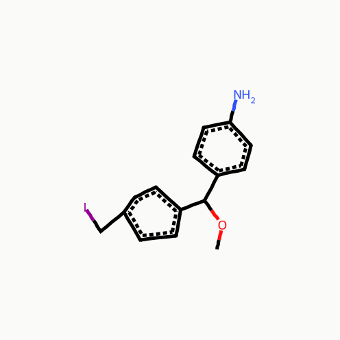 COC(c1ccc(N)cc1)c1ccc(CI)cc1